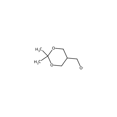 CC1(C)OCC(C[O])CO1